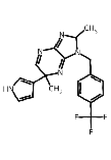 CC1N=C2N=CC(C)(c3cc[nH]c3)N=C2N1Cc1ccc(C(F)(F)F)cc1